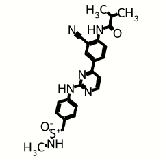 CN[S+]([O-])Cc1ccc(Nc2nccc(-c3ccc(NC(=O)C(C)C)c(C#N)c3)n2)cc1